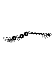 CCCCCC[C@H](OC(=O)c1ccc(OC(=O)c2ccc(-c3ccc(OCCCCCCCCCCOCC4(C)COC4)cc3)cc2)cc1)C(F)(F)F